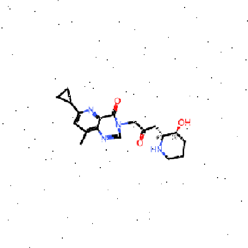 Cc1cc(C2CC2)nc2c(=O)n(CC(=O)C[C@H]3NCCC[C@@H]3O)cnc12